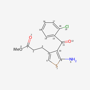 COC(=O)CCc1csc(N)c1C(=O)c1ccccc1Cl